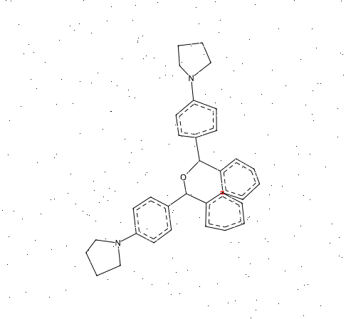 c1ccc(C(OC(c2ccccc2)c2ccc(N3CCCC3)cc2)c2ccc(N3CCCC3)cc2)cc1